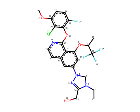 CCN1CN(c2cc(OC(C)C(F)(F)F)c3c(Oc4c(F)ccc(OC)c4Cl)nccc3c2)N=C1CO